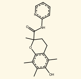 Cc1c(C)c2c(c(C)c1O)CCC(C)(C(=O)Nc1ccccn1)O2